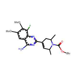 COc1cc2c(N)nc(C3=CC(C)N(C(=O)OC(C)(C)C)C(C)C3)nc2c(F)c1OC